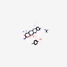 CN(C)c1cc(CNCC(C)(C)C)c(O)c2c1C[C@H]1C[C@H]3[C@H](N(C)C)C(O)=C(C(N)=O)C(=O)[C@@]3(O)C(O)=C1C2=O.Cc1ccc(S(=O)(=O)O)cc1